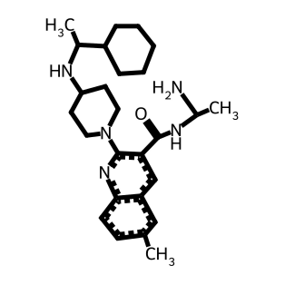 Cc1ccc2nc(N3CCC(NC(C)C4CCCCC4)CC3)c(C(=O)NC(C)N)cc2c1